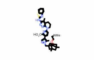 CNCCOC12CC3(C)CC(C)(CC(Cn4ncc(-c5ccc(N6CCCc7c6nnc(Nc6nc8ccccc8s6)c7C)nc5C(=O)O)c4C)(C3)C1)C2